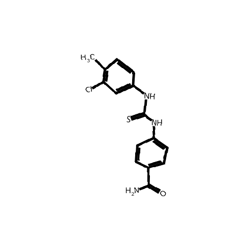 Cc1ccc(NC(=S)Nc2ccc(C(N)=O)cc2)cc1Cl